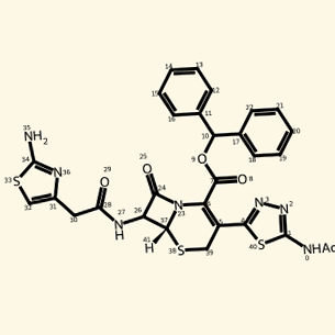 CC(=O)Nc1nnc(C2=C(C(=O)OC(c3ccccc3)c3ccccc3)N3C(=O)C(NC(=O)Cc4csc(N)n4)[C@H]3SC2)s1